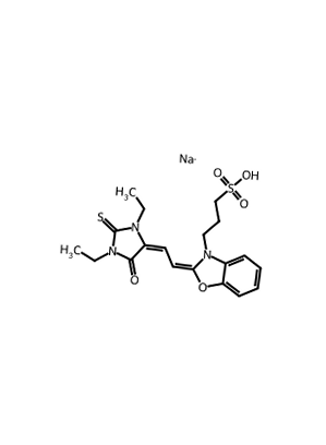 CCN1C(=O)C(=CC=C2Oc3ccccc3N2CCCS(=O)(=O)O)N(CC)C1=S.[Na]